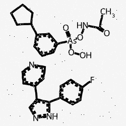 CC(=O)NO[As](=O)(OO)c1cccc(C2CCCC2)c1.Fc1ccc(-c2[nH]ncc2-c2ccncc2)cc1